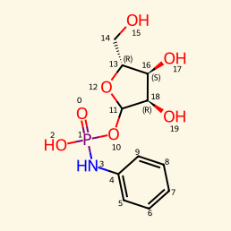 O=P(O)(Nc1ccccc1)OC1O[C@H](CO)[C@@H](O)[C@H]1O